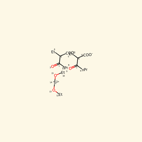 CCCC(=O)C(CC)C(=O)[O-].CCCC(=O)C(CC)C(=O)[O-].CC[O][Ti+2][O]CC